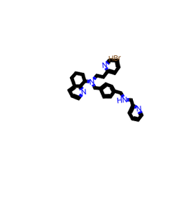 Br.c1ccc(CCN(Cc2ccc(CNCc3ccccn3)cc2)C2CCCc3cccnc32)nc1